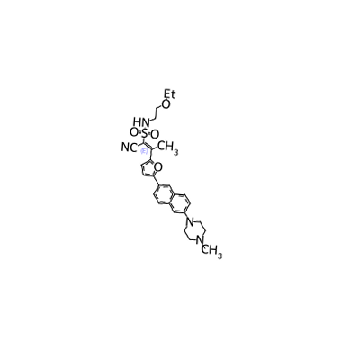 CCOCCNS(=O)(=O)/C(C#N)=C(\C)c1ccc(-c2ccc3cc(N4CCN(C)CC4)ccc3c2)o1